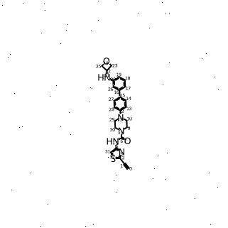 C#Cc1nc(NC(=O)N2CCN(c3ccc(-c4cccc(NC5COC5)c4)cc3)CC2)cs1